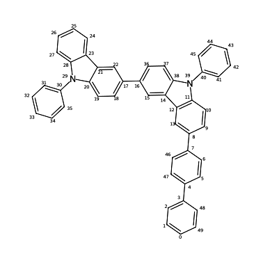 c1ccc(-c2ccc(-c3ccc4c(c3)c3cc(-c5ccc6c(c5)c5ccccc5n6-c5ccccc5)ccc3n4-c3ccccc3)cc2)cc1